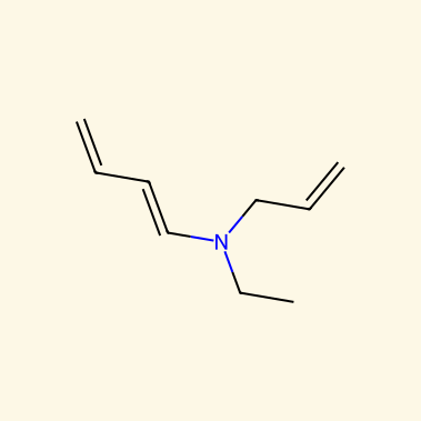 C=C/C=C/N(CC)CC=C